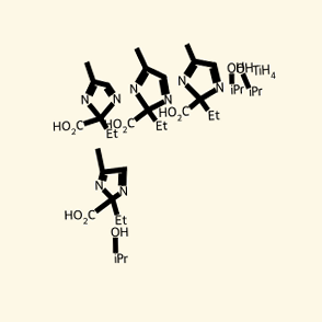 CC(C)O.CC(C)O.CC(C)O.CCC1(C(=O)O)N=CC(C)=N1.CCC1(C(=O)O)N=CC(C)=N1.CCC1(C(=O)O)N=CC(C)=N1.CCC1(C(=O)O)N=CC(C)=N1.[TiH4]